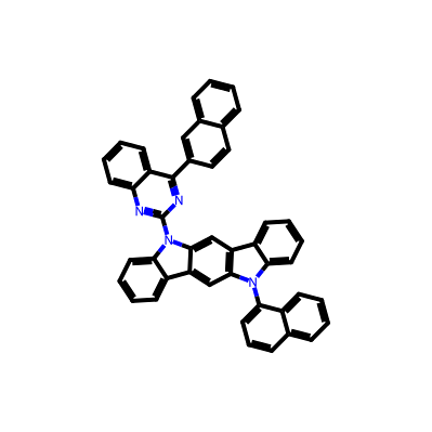 c1ccc2cc(-c3nc(-n4c5ccccc5c5cc6c(cc54)c4ccccc4n6-c4cccc5ccccc45)nc4ccccc34)ccc2c1